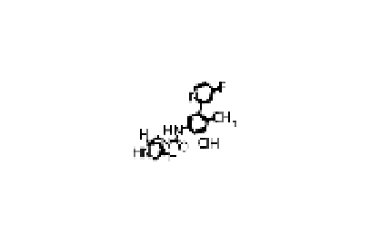 Cc1ccc(NC(=O)N2C[C@@H]3C[C@H]2CN3)cc1-c1cc(F)ccn1.Cl